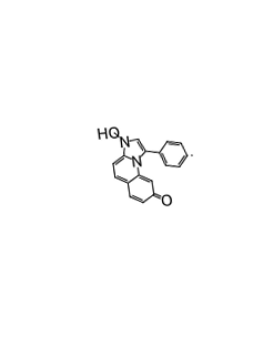 O=c1ccc2ccc3n(O)cc(-c4cc[c]cc4)n3c-2c1